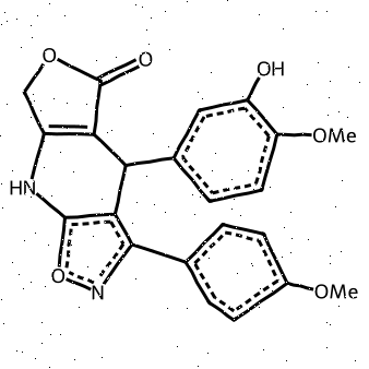 COc1ccc(-c2noc3c2C(c2ccc(OC)c(O)c2)C2=C(COC2=O)N3)cc1